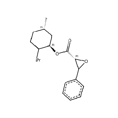 CC(C)C1CC[C@H](C)C[C@H]1OC(=O)[C@@H]1OC1c1ccccc1